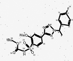 COc1cc(-c2nnn(C(C)c3ccc(F)cc3)n2)ccc1S(=O)(=O)NC(=O)OC(C)(C)C